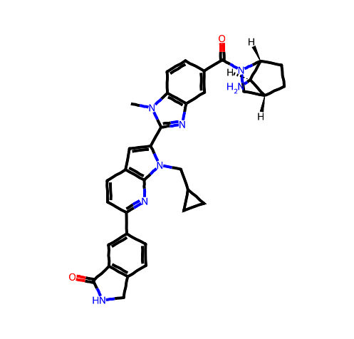 Cn1c(-c2cc3ccc(-c4ccc5c(c4)C(=O)NC5)nc3n2CC2CC2)nc2cc(C(=O)N3C[C@H]4CC[C@@H]3[C@@H]4N)ccc21